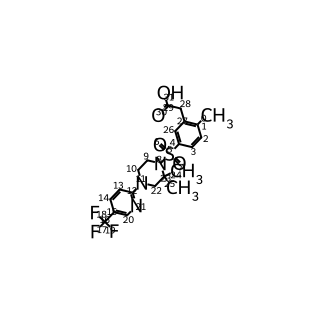 Cc1ccc(S(=O)(=O)N2CCN(c3ccc(C(F)(F)F)cn3)CC2(C)C)cc1CC(=O)O